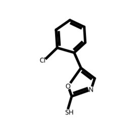 Sc1ncc(-c2ccccc2Cl)o1